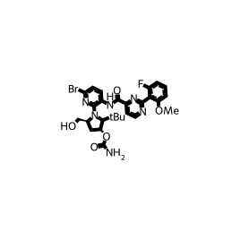 COc1cccc(F)c1-c1nccc(C(=O)Nc2ccc(Br)nc2N2C(C(C)(C)C)[C@@H](OC(N)=O)C[C@H]2CO)n1